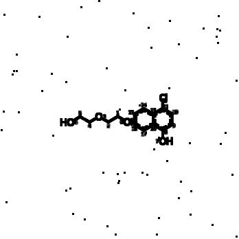 OCCOCCO.Oc1ccc(Cl)c2ccccc12